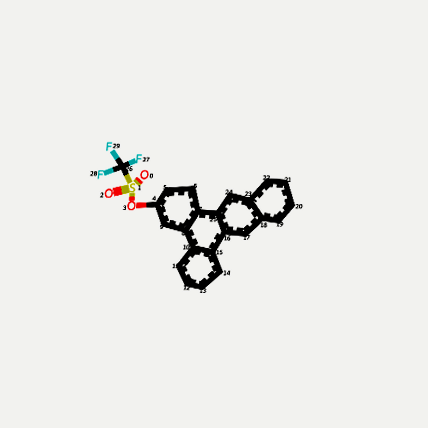 O=S(=O)(Oc1ccc2c(c1)c1ccccc1c1cc3ccccc3cc21)C(F)(F)F